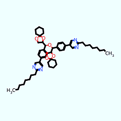 CCCCCCCCc1ncc(-c2ccc([C@H](O[C@@H](c3ccc(-c4cnc(CCCCCCCC)nc4)cc3)C3COC4(CCCCC4)O3)C3COC4(CCCCC4)O3)cc2)cn1